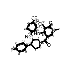 Cn1cc(C(=O)N2CCC(c3ccc(F)cc3)CC2)c(Nc2cc(C(F)(F)F)ccc2C#N)c(Cl)c1=O